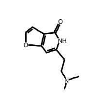 CN(C)CCc1cc2occc2c(=O)[nH]1